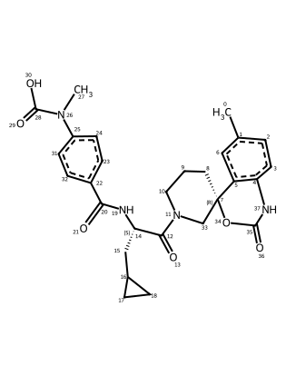 Cc1ccc2c(c1)[C@@]1(CCCN(C(=O)[C@H](CC3CC3)NC(=O)c3ccc(N(C)C(=O)O)cc3)C1)OC(=O)N2